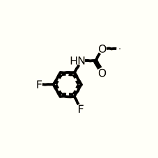 [CH2]OC(=O)Nc1cc(F)cc(F)c1